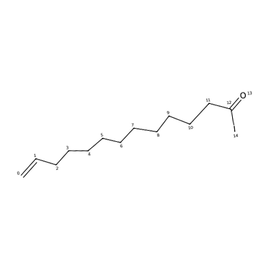 C=CCCCCCCCCCCC(=O)I